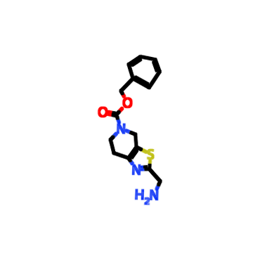 NCc1nc2c(s1)CN(C(=O)OCc1ccccc1)CC2